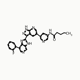 CCCCC(=O)Nc1cncc(-c2cnc3[nH]nc(-c4nc5c(-c6ccccc6F)cncc5[nH]4)c3c2)c1